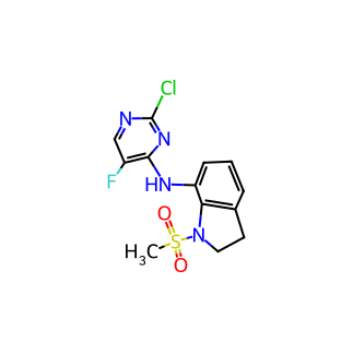 CS(=O)(=O)N1CCc2cccc(Nc3nc(Cl)ncc3F)c21